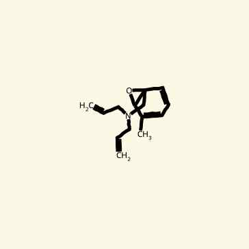 C=CCN(CC=C)CC12C=CC=C(C)C1O2